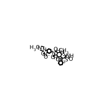 C[C@H]1[C@H]2Sc3[nH]c(=O)sc3[C@H](c3ccccc3)[C@H]2[C@@H](C)[C@@H]2C(=O)N(c3ccc(N4CCN(C)CC4)c([N+](=O)[O-])c3)C(=O)[C@H]12